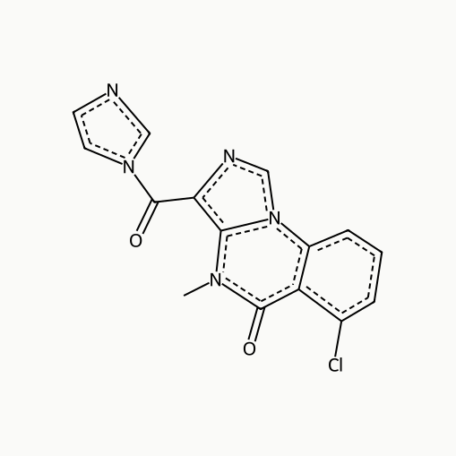 Cn1c(=O)c2c(Cl)cccc2n2cnc(C(=O)n3ccnc3)c12